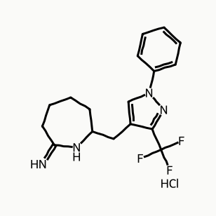 Cl.N=C1CCCCC(Cc2cn(-c3ccccc3)nc2C(F)(F)F)N1